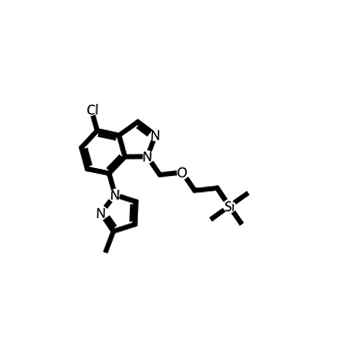 Cc1ccn(-c2ccc(Cl)c3cnn(COCC[Si](C)(C)C)c23)n1